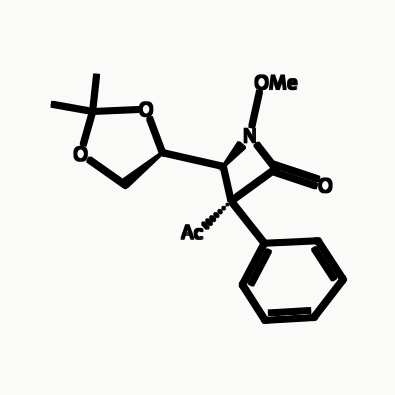 CON1C(=O)[C@@](C(C)=O)(c2ccccc2)[C@H]1[C@H]1COC(C)(C)O1